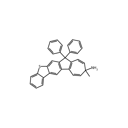 CC1(N)C=CC2=C(C=C1)C(c1ccccc1)(c1ccccc1)c1cc3sc4ccccc4c3cc12